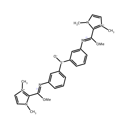 CO/C(=N\c1cccc([S+]([O-])c2cccc(/N=C(\OC)c3n(C)cc[n+]3C)c2)c1)c1n(C)cc[n+]1C